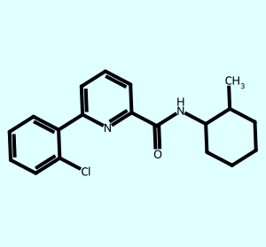 CC1CCCCC1NC(=O)c1cccc(-c2ccccc2Cl)n1